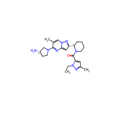 CCn1nc(C)cc1C(=O)N1CCCC[C@H]1c1cc2nc(N3CC[C@H](N)C3)c(C)cn2n1